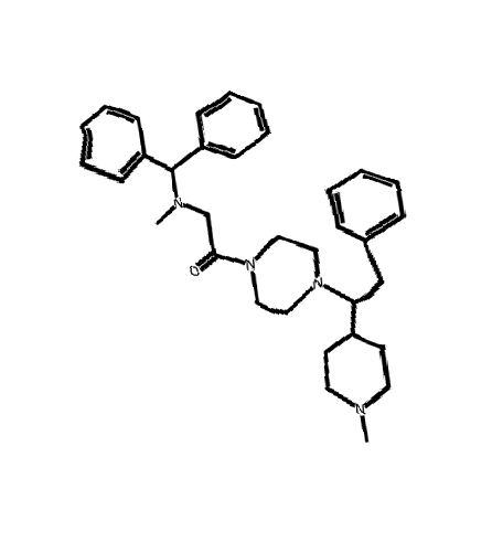 CN1CCC(C(Cc2ccccc2)N2CCN(C(=O)CN(C)C(c3ccccc3)c3ccccc3)CC2)CC1